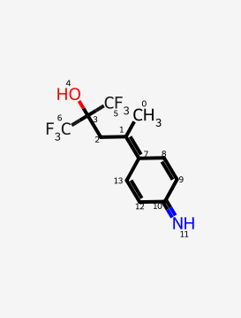 CC(CC(O)(C(F)(F)F)C(F)(F)F)=C1C=CC(=N)C=C1